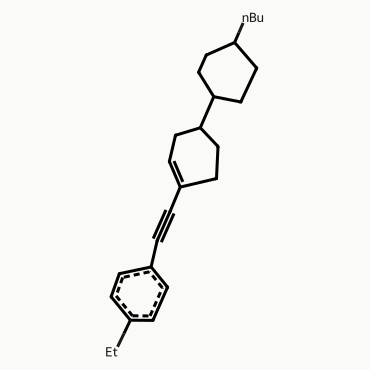 CCCCC1CCC(C2CC=C(C#Cc3ccc(CC)cc3)CC2)CC1